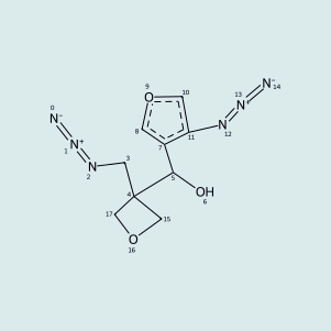 [N-]=[N+]=NCC1(C(O)c2cocc2N=[N+]=[N-])COC1